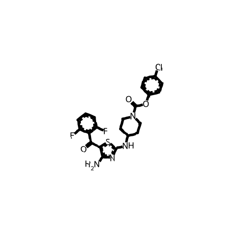 Nc1nc(NC2CCN(C(=O)Oc3ccc(Cl)cc3)CC2)sc1C(=O)c1c(F)cccc1F